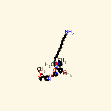 CCOC(=O)C[C@H](c1ccnc(OCC2CCN(c3cc(OC)ccc3C(=O)N(CC(C)(C)CCCCCCCCCCCCCCCCCCN)c3cccc(C)n3)CC2)c1)C1CC1